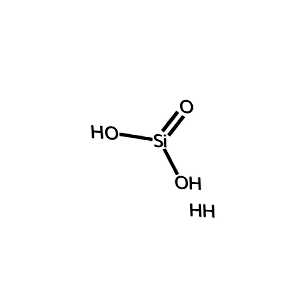 O=[Si](O)O.[HH]